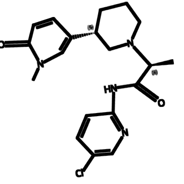 C[C@@H](C(=O)Nc1ccc(Cl)cn1)N1CCC[C@@H](c2ccc(=O)n(C)c2)C1